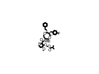 COc1ccnc(C(=O)N[C@H]2CCO[C@H](CCc3ccccc3)[C@@H](Cc3ccc(F)cc3)[C@H](C)OC2=O)c1OCOC(=O)C(C)C